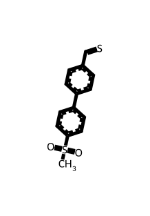 CS(=O)(=O)c1ccc(-c2ccc(C=S)cc2)cc1